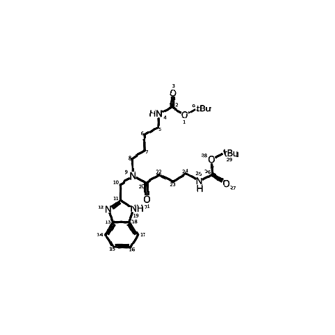 CC(C)(C)OC(=O)NCCCCN(Cc1nc2ccccc2[nH]1)C(=O)CCCNC(=O)OC(C)(C)C